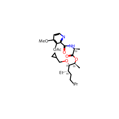 CC[C@@H](CCC(C)C)[C@H](OCC1CC1)[C@H](C)OC(=O)[C@H](C)NC(=O)c1nccc(OC)c1OC(C)=O